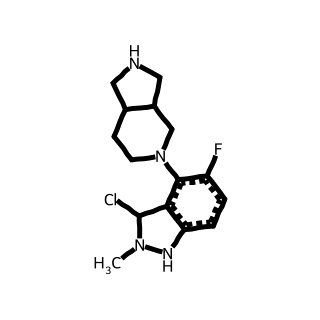 CN1Nc2ccc(F)c(N3CCC4CNCC4C3)c2C1Cl